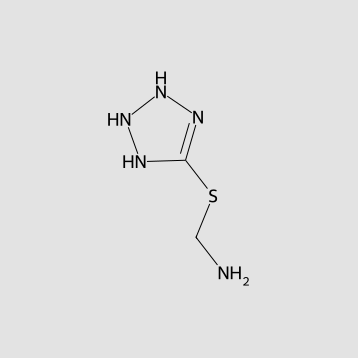 NCSC1=NNNN1